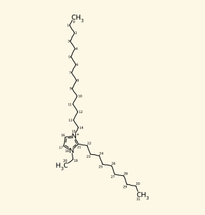 CCCCCCCCCCCCCCC[n+]1ccn(CC)c1CCCCCCCCCC